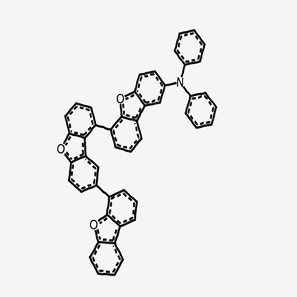 c1ccc(N(c2ccccc2)c2ccc3oc4c(-c5cccc6oc7ccc(-c8cccc9c8oc8ccccc89)cc7c56)cccc4c3c2)cc1